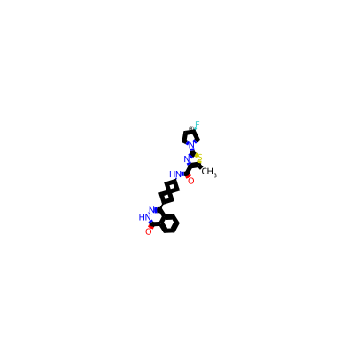 Cc1sc(N2CC[C@@H](F)C2)nc1C(=O)N[C@H]1CC2(C1)C[C@H](c1n[nH]c(=O)c3ccccc31)C2